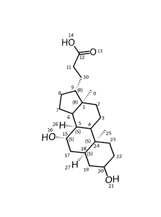 C[C@]12CCC3[C@H](C1CC[C@@H]2CCC(=O)O)[C@@H](O)C[C@@H]1CC(O)CC[C@]31C